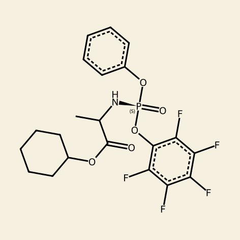 CC(N[P@](=O)(Oc1ccccc1)Oc1c(F)c(F)c(F)c(F)c1F)C(=O)OC1CCCCC1